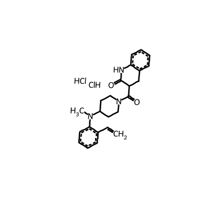 C=Cc1ccccc1N(C)C1CCN(C(=O)C2Cc3ccccc3NC2=O)CC1.Cl.Cl